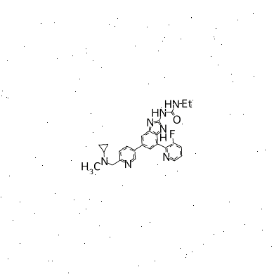 CCNC(=O)Nc1nc2cc(-c3ccc(CN(C)C4CC4)nc3)cc(-c3ncccc3F)c2[nH]1